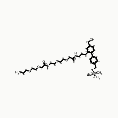 CC(C)(C)[Si](C)(C)OCc1ccc(-c2ccc(CO)cc2CCCNC(=O)COCCOCCNC(=O)COCCOCCN)cc1